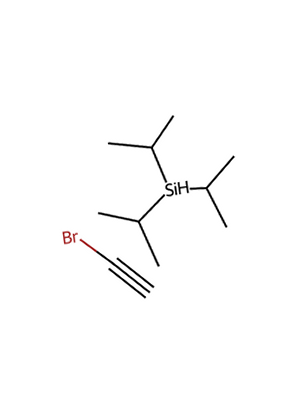 C#CBr.CC(C)[SiH](C(C)C)C(C)C